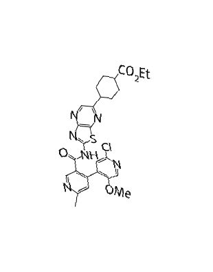 CCOC(=O)C1CCC(c2cnc3nc(NC(=O)c4cnc(C)cc4-c4cc(Cl)ncc4OC)sc3n2)CC1